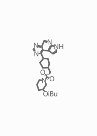 CC(C)COC1CCCN(S(=O)(=O)CC2CCC(c3ncnc4cnc5[nH]ccc5c34)CC2)C1